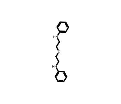 c1ccc(NCCOCCNc2ccccc2)cc1